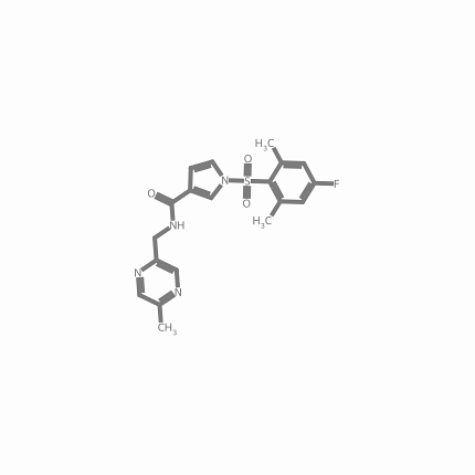 Cc1cnc(CNC(=O)c2ccn(S(=O)(=O)c3c(C)cc(F)cc3C)c2)cn1